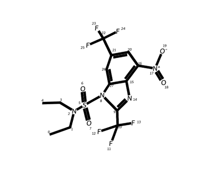 CCN(CC)S(=O)(=O)n1c(C(F)(F)F)nc2c([N+](=O)[O-])cc(C(F)(F)F)cc21